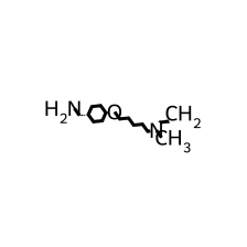 C=CCN(C)CCCCCO[C@H]1CC[C@H](CN)CC1